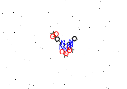 CC(C)S(=O)(=O)c1ccc(-c2cnc(N(C(=O)OC(C)(C)C)C(=O)OC(C)(C)C)c(-c3cn(-c4ccccc4)nn3)n2)cc1